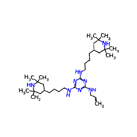 C=CCNc1nc(NCCCCC2CC(C)(C)NC(C)(C)C2)nc(NCCCCC2CC(C)(C)NC(C)(C)C2)n1